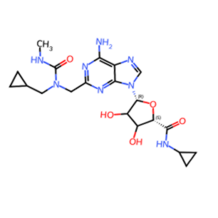 CNC(=O)N(Cc1nc(N)c2ncn([C@@H]3O[C@H](C(=O)NC4CC4)C(O)C3O)c2n1)CC1CC1